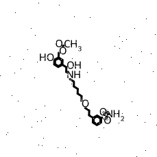 CC(=O)OCc1cc([C@@H](O)CNCCCCCCCOCCCc2cccc(S(N)(=O)=O)c2)ccc1O